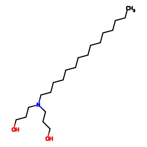 CCCCCCCCCCCCCCCN(CCCO)CCCO